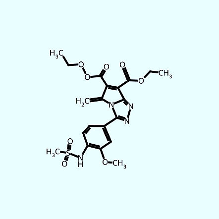 C=c1c(C(=O)OOCC)c(C(=O)OCC)c2nnc(-c3ccc(NS(C)(=O)=O)c(OC)c3)n12